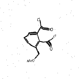 COCc1cccc(C(=O)Cl)c1C(=O)Cl